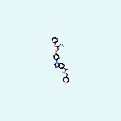 CC(COc1ccc(-n2cnc3cc(C(=O)NCC4CCOCC4)ccc32)cc1)Oc1ccccn1